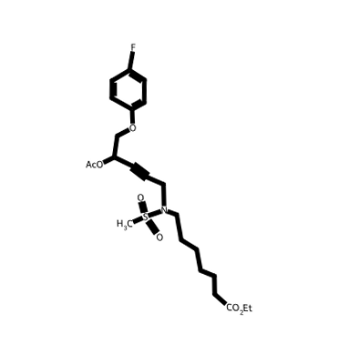 CCOC(=O)CCCCCCN(CC#CC(COc1ccc(F)cc1)OC(C)=O)S(C)(=O)=O